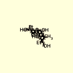 CCN(CCO)c1ccc(/N=C2/C(O)=CC(=O)C(Nc3ccc(N(CC)CCO)cc3C)=C2CO)c(C)c1